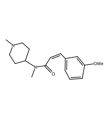 COc1cccc(/C=C\C(=O)N(C)C2CCN(C)CC2)c1